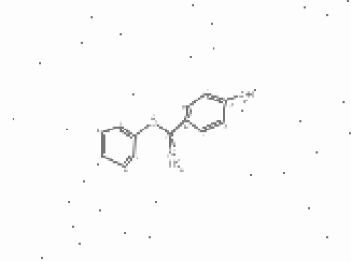 Cl.O=C(Oc1ccccc1)c1ccc(O)cc1